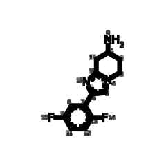 NC1CCn2cc(-c3cc(F)ccc3F)nc2C1